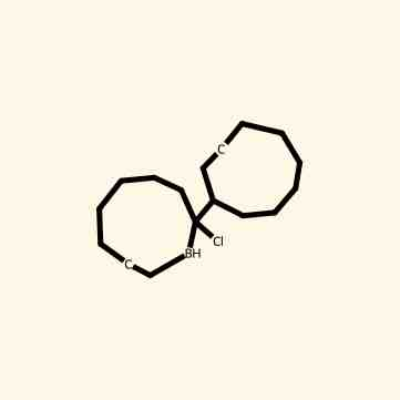 ClC1(C2CCCCCCCC2)BCCCCCCC1